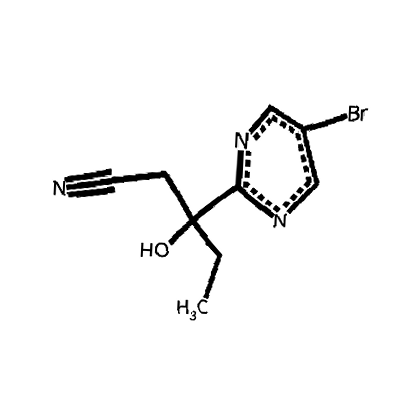 CCC(O)(CC#N)c1ncc(Br)cn1